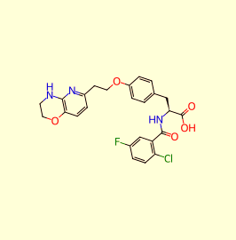 O=C(N[C@@H](Cc1ccc(OCCc2ccc3c(n2)NCCO3)cc1)C(=O)O)c1cc(F)ccc1Cl